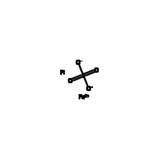 O=S(=O)([O-])[O-].[Fe+2].[P]